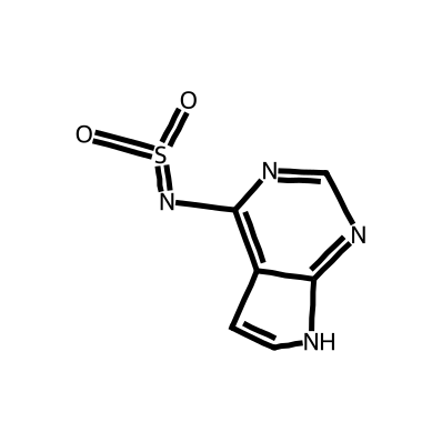 O=S(=O)=Nc1ncnc2[nH]ccc12